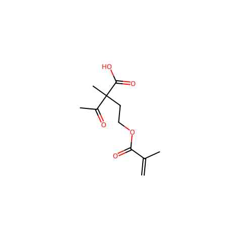 C=C(C)C(=O)OCCC(C)(C(C)=O)C(=O)O